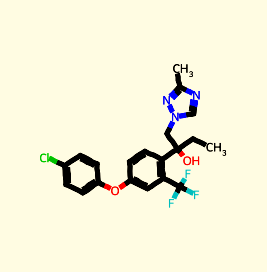 CCC(O)(Cn1cnc(C)n1)c1ccc(Oc2ccc(Cl)cc2)cc1C(F)(F)F